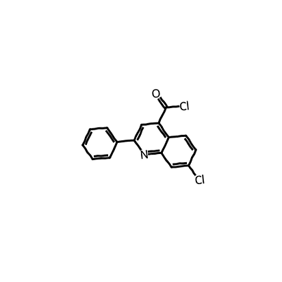 O=C(Cl)c1cc(-c2ccccc2)nc2cc(Cl)ccc12